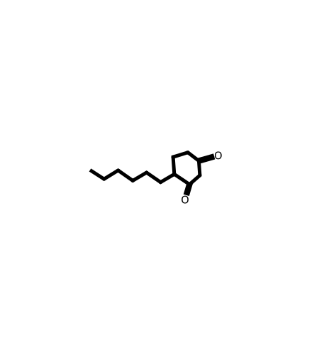 CCCCCCC1CCC(=O)CC1=O